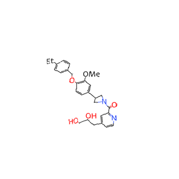 CCc1ccc(COc2ccc(C3CN(C(=O)c4cc(CC(O)CO)ccn4)C3)cc2OC)cc1